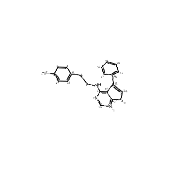 Clc1ccc(CCNc2ncnc3scc(-c4ccccc4)c23)cc1